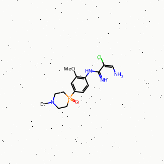 CCN1CCP(=O)(c2ccc(NC(=N)/C(Cl)=C\N)c(OC)c2)CC1